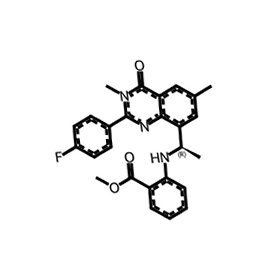 COC(=O)c1ccccc1N[C@H](C)c1cc(C)cc2c(=O)n(C)c(-c3ccc(F)cc3)nc12